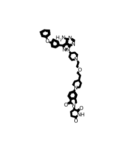 Nc1ncnc2c1c(-c1ccc(Oc3ccccc3)cc1)nn2C1CCN(CCOCCC2CCN(c3ccc4c(c3)CN(C3CCC(=O)NC3=O)C4=O)CC2)CC1